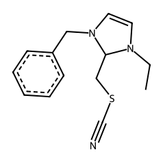 CCN1C=CN(Cc2ccccc2)C1CSC#N